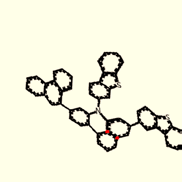 c1ccc(-c2ccc(-c3cc4ccccc4c4ccccc34)cc2N(c2cccc(-c3ccc4sc5ccccc5c4c3)c2)c2ccc3c(c2)sc2ccccc23)cc1